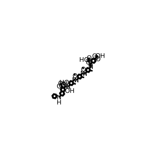 COc1cc(N=Nc2cc(C)c(N=Nc3ccc(S(=O)(=O)O)cc3S(=O)(=O)O)cc2OC)c(C)cc1N=Nc1cc(O)c(N=Nc2c(S(=O)(=O)O)cc3cc(Nc4ccccc4)ccc3c2O)cc1C